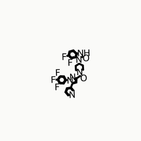 O=C(c1cc(-c2cccnc2)n(-c2cc(F)c(F)c(F)c2)n1)N1CCC(n2c(=O)[nH]c3ccc(F)c(F)c32)CC1